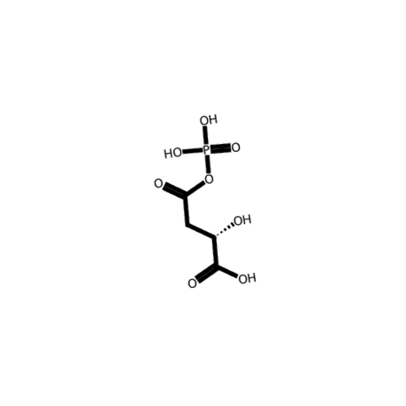 O=C(C[C@H](O)C(=O)O)OP(=O)(O)O